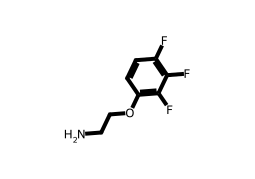 NCCOc1ccc(F)c(F)c1F